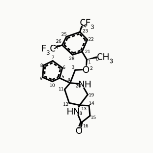 C[C@@H](OCC1(c2ccccc2)CCC2(CCC(=O)N2)CN1)c1cc(C(F)(F)F)cc(C(F)(F)F)c1